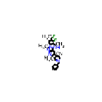 Cc1nc(N[C@H](C)c2cccc(C(C)F)c2F)c2cc(C3(C#N)CCN(Cc4ccccc4)CC3)c(C)nc2n1